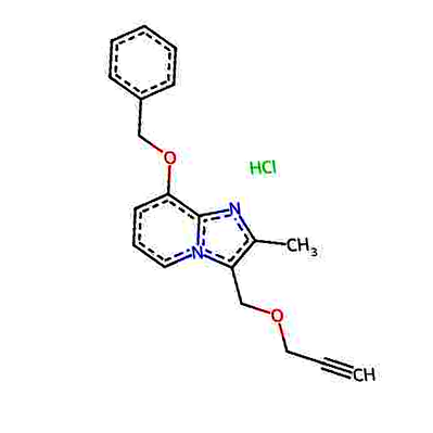 C#CCOCc1c(C)nc2c(OCc3ccccc3)cccn12.Cl